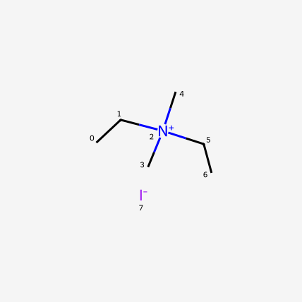 CC[N+](C)(C)CC.[I-]